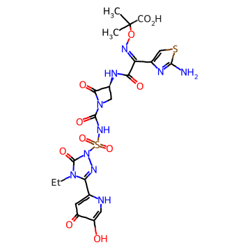 CCn1c(-c2cc(=O)c(O)c[nH]2)nn(S(=O)(=O)NC(=O)N2C[C@H](NC(=O)C(=NOC(C)(C)C(=O)O)c3csc(N)n3)C2=O)c1=O